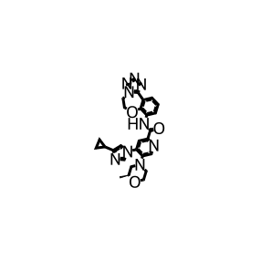 C[C@H]1CN(c2cnc(C(=O)Nc3cccc4c3OCCn3nnnc3-4)cc2-n2cnc(C3CC3)c2)CCO1